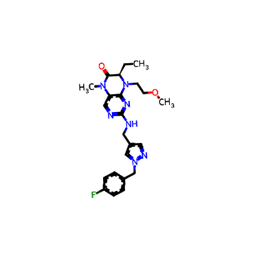 CC[C@@H]1C(=O)N(C)c2cnc(NCc3cnn(Cc4ccc(F)cc4)c3)nc2N1CCOC